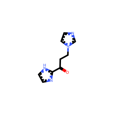 O=C(CCn1ccnc1)c1ncc[nH]1